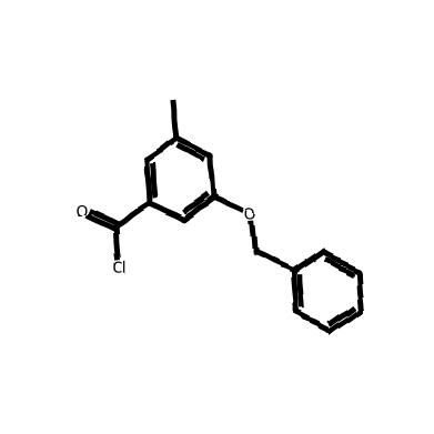 Cc1cc(OCc2ccccc2)cc(C(=O)Cl)c1